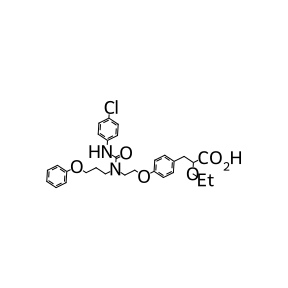 CCOC(Cc1ccc(OCCN(CCCOc2ccccc2)C(=O)Nc2ccc(Cl)cc2)cc1)C(=O)O